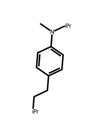 CC(C)CCc1ccc(N(C)C(C)C)cc1